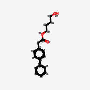 O=C(Cc1ccc(-c2ccccc2)cc1)OCCCCO